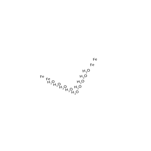 O.O.O.O.O.O.O.O.O.[Fe].[Fe].[Fe].[Fe]